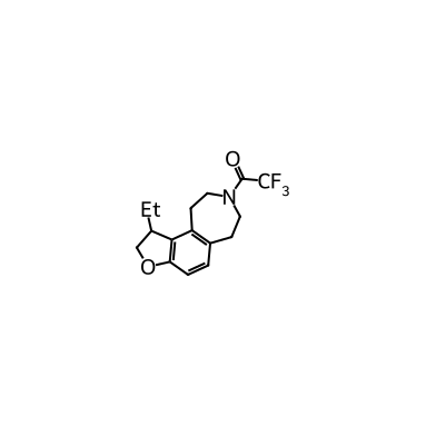 CCC1COc2ccc3c(c21)CCN(C(=O)C(F)(F)F)CC3